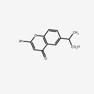 CC(C)c1cc(=O)c2cc(C(C)C(=O)O)ccc2o1